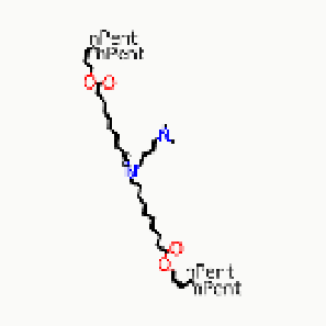 CCCCCC(/C=C\COC(=O)CCCCCCCCCN(CCCCCCCCCC(=O)OC/C=C\C(CCCCC)CCCCC)CCCCN(C)C)CCCCC